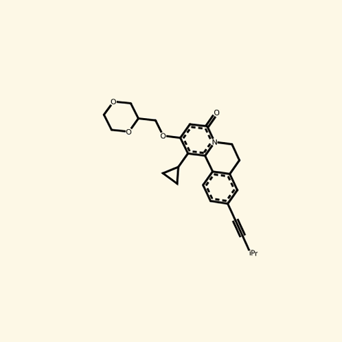 CC(C)C#Cc1ccc2c(c1)CCn1c-2c(C2CC2)c(OCC2COCCO2)cc1=O